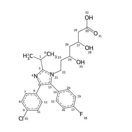 CC(C)c1nc(-c2ccc(Cl)cc2)c(-c2ccc(F)cc2)n1CCC(O)CC(O)CC(=O)O